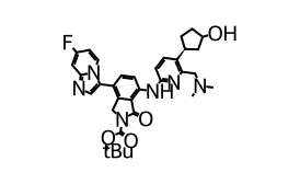 CN(C)Cc1nc(Nc2ccc(-c3cnc4cc(F)ccn34)c3c2C(=O)N(C(=O)OC(C)(C)C)C3)ccc1[C@H]1CCC(O)C1